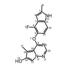 Cc1cc2c(F)c(Oc3ncnn4cc(O)c(C)c34)ccc2[nH]1